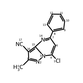 Cc1nn2c(Cl)cc(-c3ccccc3)nc2c1C#N